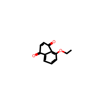 CCOc1cccc2c1C(=O)C=CC2=O